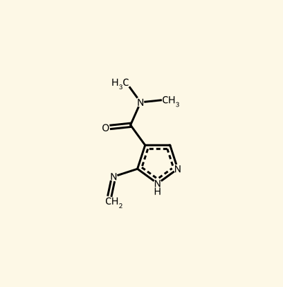 C=Nc1[nH]ncc1C(=O)N(C)C